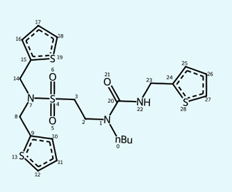 CCCCN(CCS(=O)(=O)N(Cc1cccs1)Cc1cccs1)C(=O)NCc1cccs1